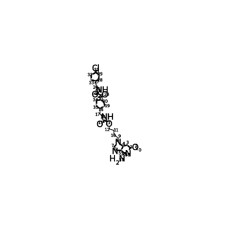 COc1cc2c(ncn2CCCCOC(=O)NCc2ccc(S(=O)(=O)NCc3ccc(Cl)cc3)cc2)c(N)n1